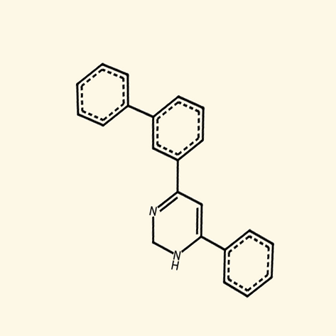 C1=C(c2ccccc2)NCN=C1c1cccc(-c2ccccc2)c1